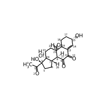 CC(=O)[C@@]1(O)CC[C@H]2[C@@H]3C(=O)C(=O)C4=C[C@@H](O)CC[C@]4(C)[C@H]3CC[C@@]21C